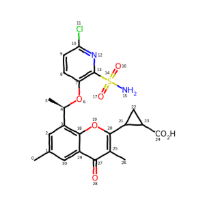 Cc1cc([C@@H](C)Oc2ccc(Cl)nc2S(N)(=O)=O)c2oc(C3CC3C(=O)O)c(C)c(=O)c2c1